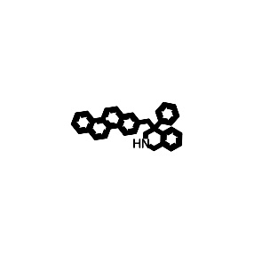 c1ccc(C2(Cc3ccc4c(ccc5c6ccccc6ccc45)c3)CNCc3ccccc32)cc1